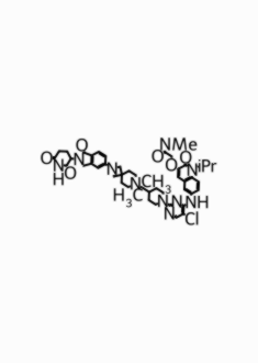 CNC(=O)COc1cc2cc(Nc3nc(N4CCC(C(C)(C)N5CCC6(CC5)CN(c5ccc7c(c5)CN(C5CCC(=O)NC5=O)C7=O)C6)CC4)ncc3Cl)ccc2n(C(C)C)c1=O